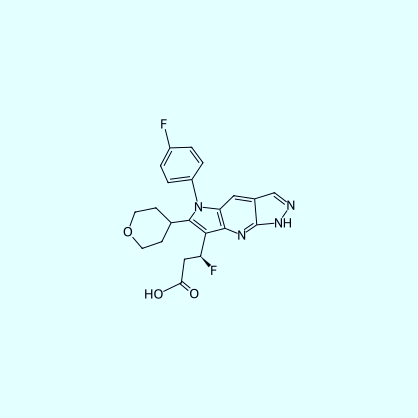 O=C(O)C[C@H](F)c1c(C2CCOCC2)n(-c2ccc(F)cc2)c2cc3cn[nH]c3nc12